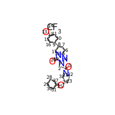 O=C(Cn1nc2ccc(-c3ccc(OC(F)(F)F)cc3)cn2c1=O)N1CCC(Oc2ccccc2)C1